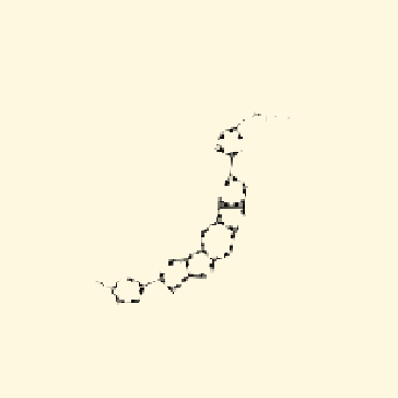 CCCCCCCCNc1ccc(-c2cc3oc4cc5oc6cc(-c7ccc(C)s7)sc6c5cc4c3s2)s1